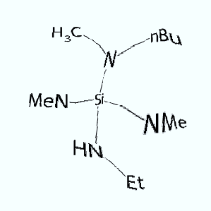 CCCCN(C)[Si](NC)(NC)NCC